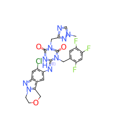 Cn1cnc(Cn2c(=O)[nH]/c(=N\c3cc4c5n(nc4cc3Cl)CCOC5)n(Cc3cc(F)c(F)cc3F)c2=O)n1